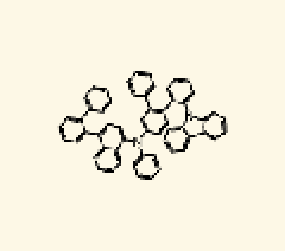 c1ccc(-c2cc(N(c3ccccc3)c3ccc(-c4ccccc4-c4ccccc4)c4ccccc34)ccc2-c2ccccc2-n2c3ccccc3c3ccccc32)cc1